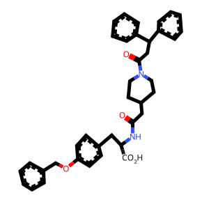 O=C(CC1CCN(C(=O)CC(c2ccccc2)c2ccccc2)CC1)NC(Cc1ccc(OCc2ccccc2)cc1)C(=O)O